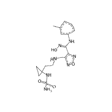 Cc1cccc(NC(=NO)c2nonc2NCCC2(NS(N)(=O)=O)CC2)c1